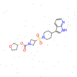 O=C(O[C@@H]1CCOC1)N1CC(S(=O)(=O)N2CCC(c3c[nH]c4ncccc34)CC2)C1